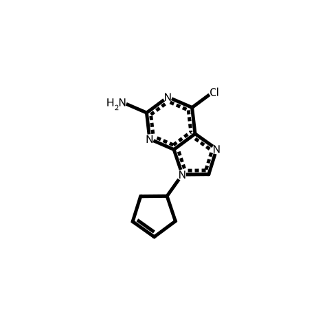 Nc1nc(Cl)c2ncn(C3CC=CC3)c2n1